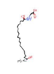 CC(O)CCCCCCCCCCCC/C=C\CCCC(=O)NCC(=O)O